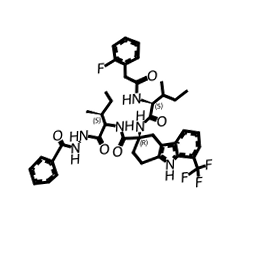 CCC(C)[C@H](NC(=O)Cc1ccccc1F)C(=O)N[C@]1(C(=O)NC(C(=O)NNC(=O)c2ccccc2)[C@@H](C)CC)CCc2[nH]c3c(C(F)(F)F)cccc3c2C1